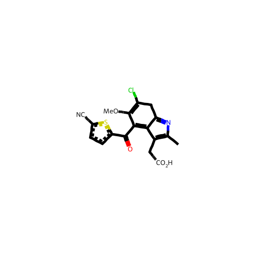 COC1=C(Cl)CC2=NC(C)=C(CC(=O)O)C2=C1C(=O)c1ccc(C#N)s1